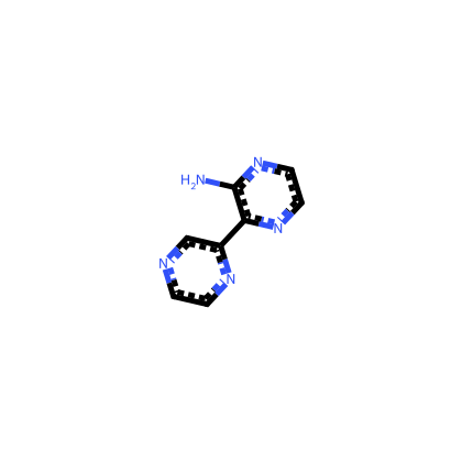 Nc1nccnc1-c1cnccn1